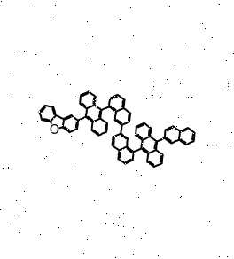 c1ccc2cc(-c3c4ccccc4c(-c4cccc5ccc(-c6ccc7cccc(-c8c9ccccc9c(-c9ccc%10oc%11ccccc%11c%10c9)c9ccccc89)c7c6)cc45)c4ccccc34)ccc2c1